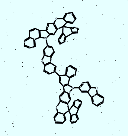 c1ccc2c(c1)Sc1cc3c4ccc5ccccc5c4n(-c4ccc5c(c4)oc4ccc(-c6cc7c8cc9c(cc8n(-c8ccc%10oc%11ccccc%11c%10c8)c7c7ccccc67)C6(c7ccccc7S9)c7ccccc7-c7ccccc76)cc45)c3cc1C21c2ccccc2-c2ccccc21